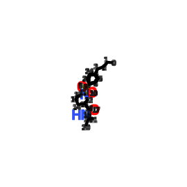 CCCCc1ccc(S(=O)(=O)N2CCCC(C(=O)NC(C)C)C2)cc1